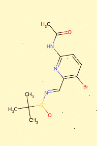 CC(=O)Nc1ccc(Br)c(C=N[S+]([O-])C(C)(C)C)n1